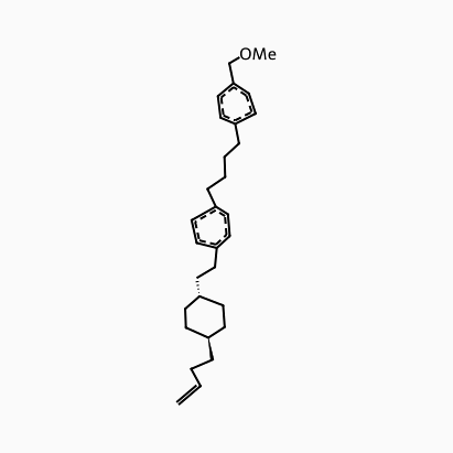 C=CCC[C@H]1CC[C@H](CCc2ccc(CCCCc3ccc(COC)cc3)cc2)CC1